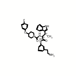 C[C@@H](c1c[nH]c2ccccc12)[C@@H](NC(=O)N1CCC(Oc2ccc(F)cc2)CC1)C(=O)Nc1cccc(CCN)c1